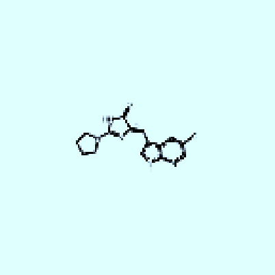 O=C1NC(N2CCCC2)=N/C1=C\c1c[nH]c2ncc(Cl)cc12